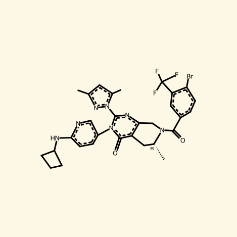 Cc1cc(C)n(-c2nc3c(c(=O)n2-c2ccc(NC4CCC4)nc2)C[C@@H](C)N(C(=O)c2ccc(Br)c(C(F)(F)F)c2)C3)n1